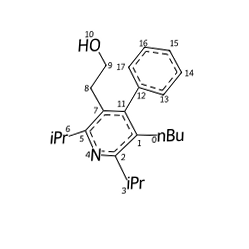 CCCCc1c(C(C)C)nc(C(C)C)c(CCO)c1-c1ccccc1